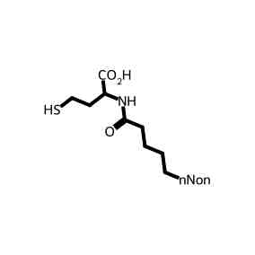 CCCCCCCCCCCCCC(=O)NC(CCS)C(=O)O